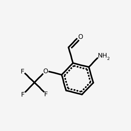 Nc1cccc(OC(F)(F)F)c1C=O